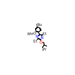 CCc1nc(-c2ccc(C(C)(C)C)cc2OC)c(CC)nc1OCC(C)CC(C)C